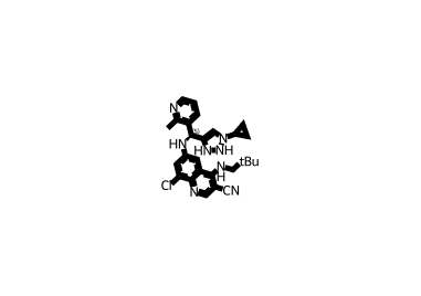 Cc1ncccc1[C@H](Nc1cc(Cl)c2ncc(C#N)c(NCC(C)(C)C)c2c1)C1=CN(C2CC2)NN1